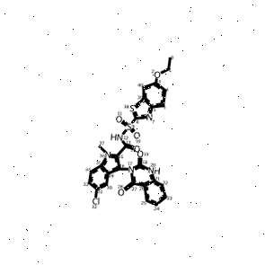 CCOc1ccc2nc(S(=O)(=O)NC(=O)c3c(-n4c(=O)[nH]c5ccccc5c4=O)c4cc(Cl)ccc4n3C)sc2c1